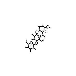 CCC1OC(OC2C(CC)OC(OC3C(CC)OC(OC)C(C)C3C)C(C)C2C)C(C)C(C)C1C